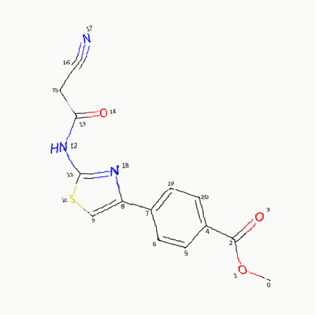 COC(=O)c1ccc(-c2csc(NC(=O)CC#N)n2)cc1